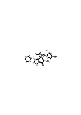 Cc1c(Nc2ccc(Br)cc2F)c(C(N)=O)c2n(c1=O)CCN2Cc1ccccc1